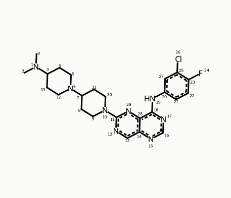 CN(C)C1CCN(C2CCN(c3ncc4ncnc(Nc5ccc(F)c(Cl)c5)c4n3)CC2)CC1